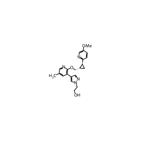 COc1ccc([C@H]2C[C@@H]2COc2ncc(C)cc2-c2cnn(CCO)c2)nc1